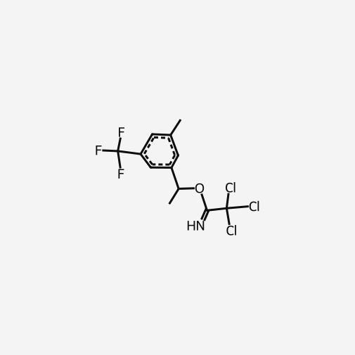 Cc1cc(C(C)OC(=N)C(Cl)(Cl)Cl)cc(C(F)(F)F)c1